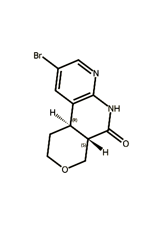 O=C1Nc2ncc(Br)cc2[C@@H]2CCOC[C@@H]12